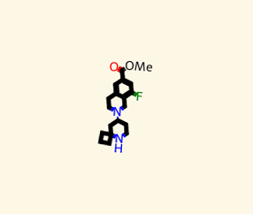 COC(=O)c1cc(F)c2c(c1)CCN([C@@H]1CCNC3(CCC3)C1)C2